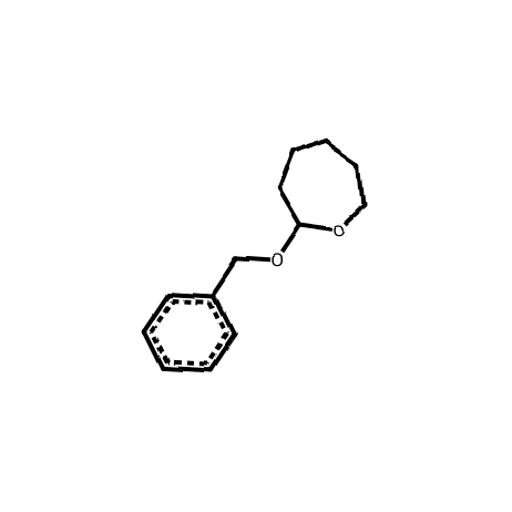 c1ccc(COC2CCCCCO2)cc1